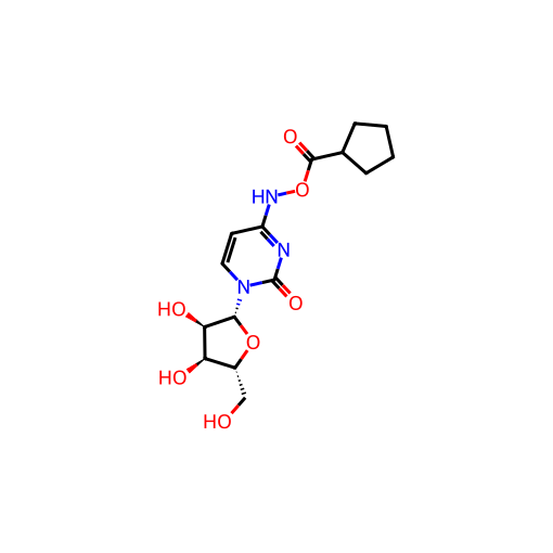 O=C(ONc1ccn([C@@H]2O[C@H](CO)[C@@H](O)[C@H]2O)c(=O)n1)C1CCCC1